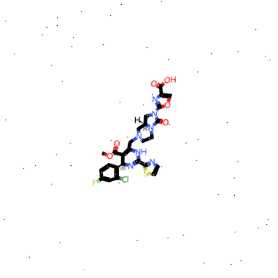 COC(=O)C1=C(CN2CCN3C(=O)N(c4nc(C(=O)O)co4)C[C@@H]3C2)NC(c2nccs2)=N[C@H]1c1ccc(F)cc1Cl